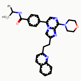 CC(C)C(NC(=O)c1ccc(-c2cnc(N3CCOCC3)c3nc(CCc4ccc5ccccc5n4)cn23)cc1)C(=O)O